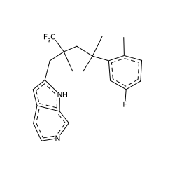 Cc1ccc(F)cc1C(C)(C)CC(C)(Cc1cc2ccncc2[nH]1)C(F)(F)F